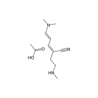 CC(=O)O.CNCCC(C#N)=CC=CN(C)C